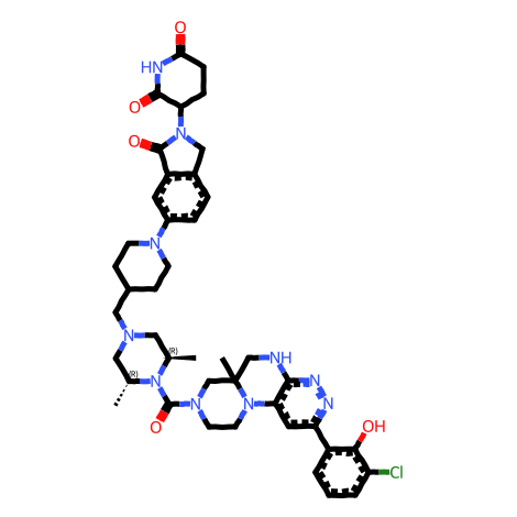 C[C@@H]1CN(CC2CCN(c3ccc4c(c3)C(=O)N(C3CCC(=O)NC3=O)C4)CC2)C[C@@H](C)N1C(=O)N1CCN2c3cc(-c4cccc(Cl)c4O)nnc3NCC2(C)C1